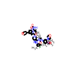 Cc1cc(-n2nc3c(c2-n2ccn(-c4ccc(P(C)(C)=O)c(N5CCOCC5)c4)c2=O)C(C)N(C(=O)c2cc4cc(C5CCOCC5)ccc4n2C2(c4noc(=O)[nH]4)CC2C)CC3)cc(C)c1F